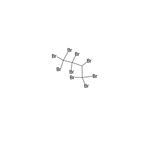 BrC(C(Br)(Br)Br)C(Br)(Br)C(Br)(Br)Br